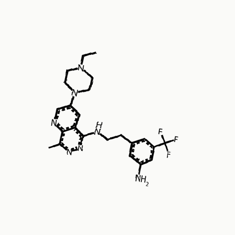 CCN1CCN(c2cnc3c(C)nnc(NCCc4cc(N)cc(C(F)(F)F)c4)c3c2)CC1